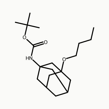 CCCCOC12CC3CC(CC(NC(=O)OC(C)(C)C)(C3)C1)C2